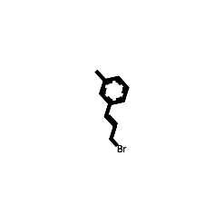 Cc1cccc(/C=C/CBr)c1